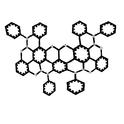 c1ccc(N2B3Oc4cccc5c4-c4c3c(c3c6c4B(O5)N(c4ccccc4)c4cc5c7c(c4-6)C(S3)Sc3c4c6c8c(c3-7)B(Oc3cccc(c3-8)OB6N(c3ccccc3)c3ccccc3-4)N5c3ccccc3)-c3ccccc32)cc1